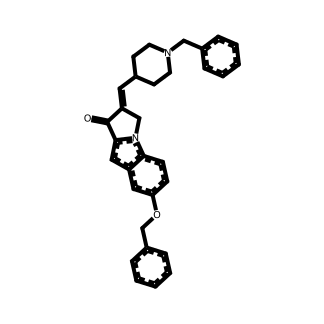 O=C1C(=CC2CCN(Cc3ccccc3)CC2)Cn2c1cc1cc(OCc3ccccc3)ccc12